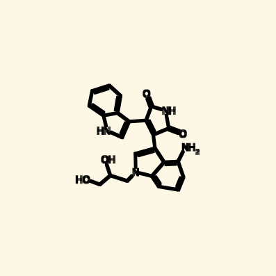 Nc1cccc2c1c(C1=C(c3c[nH]c4ccccc34)C(=O)NC1=O)cn2CC(O)CO